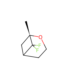 C[C@@]12CC(CCO1)C2(F)F